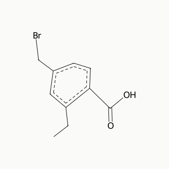 CCc1cc(CBr)ccc1C(=O)O